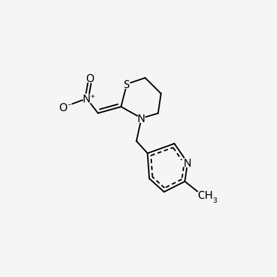 Cc1ccc(CN2CCCSC2=C[N+](=O)[O-])cn1